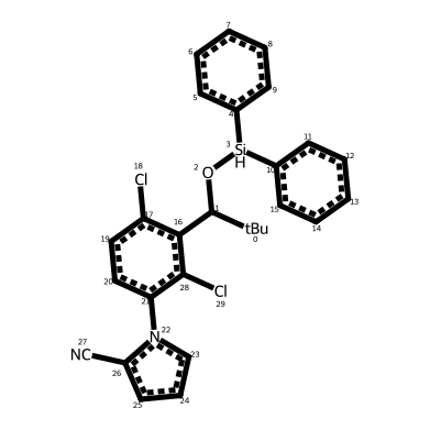 CC(C)(C)C(O[SiH](c1ccccc1)c1ccccc1)c1c(Cl)ccc(-n2cccc2C#N)c1Cl